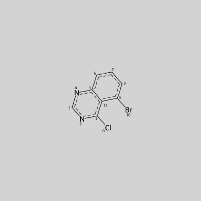 Clc1ncnc2cccc(Br)c12